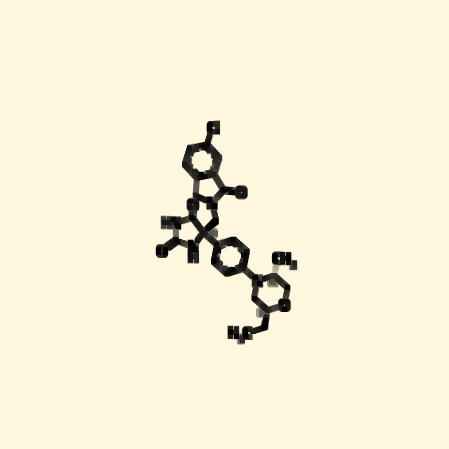 CC[C@H]1CN(c2ccc([C@]3(CN4Cc5ccc(Cl)cc5C4=O)NC(=O)NC3=O)cc2)[C@H](C)CO1